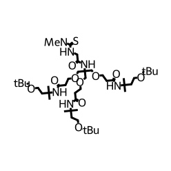 CNC(=S)NCC(=O)NC(COCCC(=O)NC(C)(C)CCOC(C)(C)C)(COCCC(=O)NC(C)(C)CCOC(C)(C)C)COCCC(=O)NC(C)(C)CCOC(C)(C)C